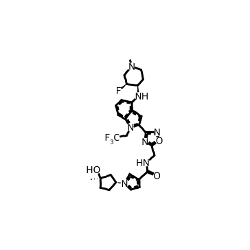 CN1CC[C@@H](Nc2cccc3c2cc(-c2noc(CNC(=O)c4ccn([C@@H]5CC[C@@](C)(O)C5)c4)n2)n3CC(F)(F)F)[C@@H](F)C1